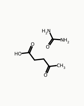 CC(=O)CCC(=O)O.NC(N)=O